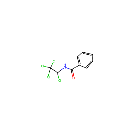 O=C(NC(Cl)C(Cl)(Cl)Cl)c1ccccc1